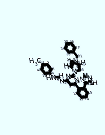 Cc1ccc(NCNc2cc(-c3ccccc3-c3nnn[nH]3)nc(N3C[C@@H]4C[C@H]3CN4Cc3ccccc3)n2)cc1